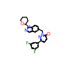 O=c1ccc(-c2cc(F)cc(F)c2)nn1Cc1ccc2c(cnn2C2CCCCO2)c1